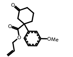 C=CCOC(=O)C1(c2cccc(OC)c2)CCCC(=O)C1